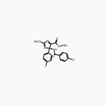 COC1=NC(NC(=O)c2ccc(Cl)cc2)(c2ccc(F)cc2)C(C(=O)OC(C)(C)C)=N1